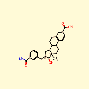 C[C@]12CCC3c4ccc(C(=O)O)cc4CCC3C1C[C@H](Cc1cccc(C(N)=O)c1)[C@@H]2O